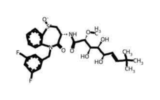 CO[C@@H](C(=O)N[C@H]1C[S+]([O-])c2ccccc2N(Cc2cc(F)cc(F)c2)C1=O)[C@H](O)[C@@H](O)[C@H](O)/C=C/C(C)(C)C